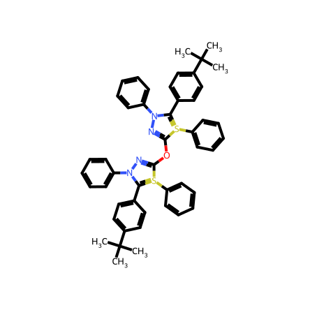 CC(C)(C)c1ccc(C2=S(c3ccccc3)C(OC3=NN(c4ccccc4)C(c4ccc(C(C)(C)C)cc4)=S3c3ccccc3)=NN2c2ccccc2)cc1